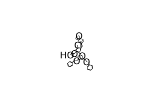 OCOc1cc(Cl)c(Cc2ccc3c(c2)CCO3)cc1C1CC(OCc2ccccc2)CC(COCc2ccccc2)O1